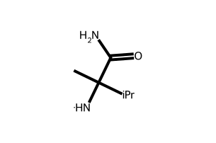 CC(C)C(C)([NH])C(N)=O